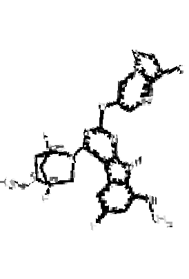 CNc1cc(F)cc2c1[nH]c1nc(Oc3cnc4c(Cl)cnn4c3)nc(N3C[C@H]4C[C@@H]3C[C@H]4N)c12